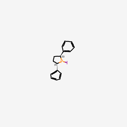 IP1[C@H](c2ccccc2)CC[C@H]1c1ccccc1